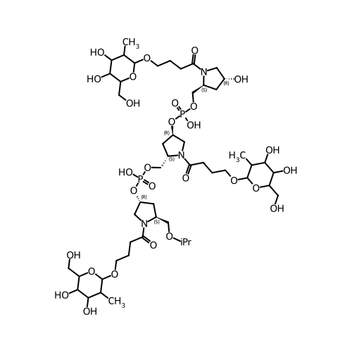 CC(C)OC[C@@H]1C[C@@H](OP(=O)(O)OC[C@@H]2C[C@@H](OP(=O)(O)OC[C@@H]3C[C@@H](O)CN3C(=O)CCCOC3OC(CO)C(O)C(O)C3C)CN2C(=O)CCCOC2OC(CO)C(O)C(O)C2C)CN1C(=O)CCCOC1OC(CO)C(O)C(O)C1C